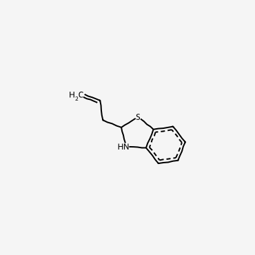 C=CCC1Nc2ccccc2S1